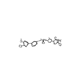 COc1ccc(-c2cccc(CC(=O)Nc3ccc(-n4ccc(=O)[nH]c4=O)cc3C)c2)cc1Cl